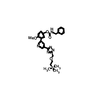 COc1ccc(OC(=O)NCc2ccccc2)cc1-c1cncc(-c2nnn(COCC[Si](C)(C)C)n2)c1